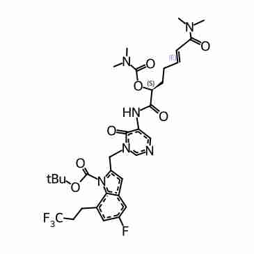 CN(C)C(=O)/C=C/CC[C@H](OC(=O)N(C)C)C(=O)Nc1cncn(Cc2cc3cc(F)cc(CCC(F)(F)F)c3n2C(=O)OC(C)(C)C)c1=O